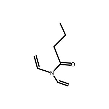 C=CN(C=C)C(=O)CCC